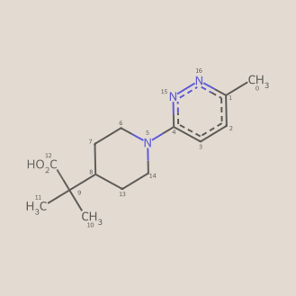 Cc1ccc(N2CCC(C(C)(C)C(=O)O)CC2)nn1